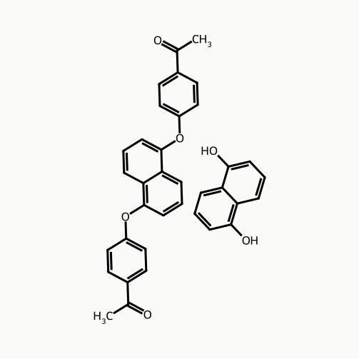 CC(=O)c1ccc(Oc2cccc3c(Oc4ccc(C(C)=O)cc4)cccc23)cc1.Oc1cccc2c(O)cccc12